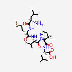 CC[C@H](C)[C@H](NC(=O)[C@@H](NC(=O)[C@H](CCSC)NC(=O)[C@@H](N)CC(C)C)C(C)C)C(=O)N[C@@H](CC(C)C)C(=O)O